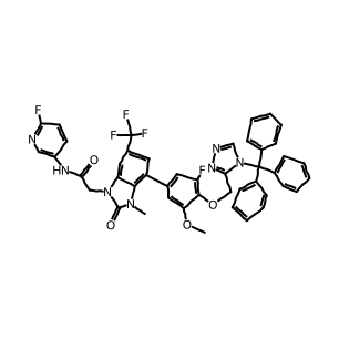 COc1cc(-c2cc(C(F)(F)F)cc3c2n(C)c(=O)n3CC(=O)Nc2ccc(F)nc2)cc(F)c1OCc1nncn1C(c1ccccc1)(c1ccccc1)c1ccccc1